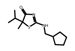 CC(C)C1(C)SC(NCC2CCCC2)=NC1=O